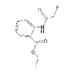 CCOC(=O)c1ccccc1NC(=O)CF